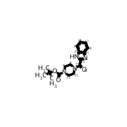 CC(C)(C)OC(=O)N1CCN(C(=O)c2nc3ccccc3[nH]2)CC1